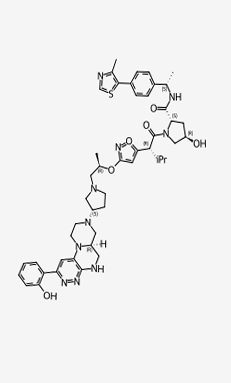 Cc1ncsc1-c1ccc([C@H](C)NC(=O)[C@@H]2C[C@@H](O)CN2C(=O)[C@@H](c2cc(O[C@H](C)CN3CC[C@H](N4CCN5c6cc(-c7ccccc7O)nnc6NC[C@@H]5C4)C3)no2)C(C)C)cc1